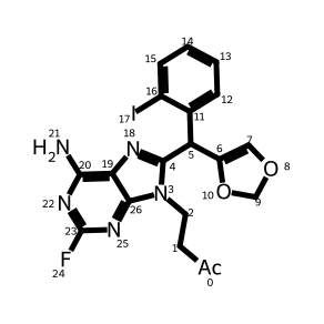 CC(=O)CCn1c(C(C2=COCO2)c2ccccc2I)nc2c(N)nc(F)nc21